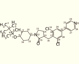 CC(C)(C)[Si](C)(C)OC1CCC(N2CCC(Cc3c(Cl)cc(-c4ccncc4)cc3Cl)C2=O)CC1